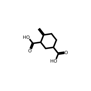 C=C1CCC(C(=O)O)CC1C(=O)O